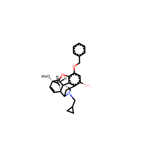 Bc1cc(OCc2ccccc2)c2c3c1CC1N(CC4CC4)CC[C@]34[C@H](O2)[C@]2(OC)C=C[C@]14C[C@H]2C(C)=O